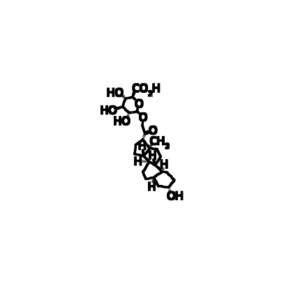 C[C@]12CC[C@H]3[C@@H](CC[C@@H]4C[C@@H](O)CC[C@@H]43)[C@@H]1CC[C@@H]2C(=O)COC1O[C@H](C(=O)O)[C@@H](O)[C@H](O)[C@H]1O